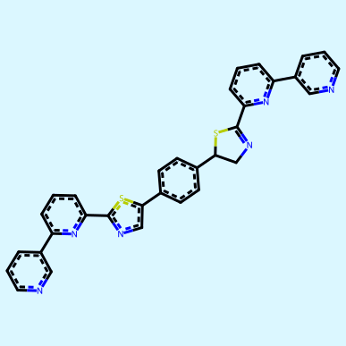 c1cncc(-c2cccc(C3=NCC(c4ccc(-c5cnc(-c6cccc(-c7cccnc7)n6)s5)cc4)S3)n2)c1